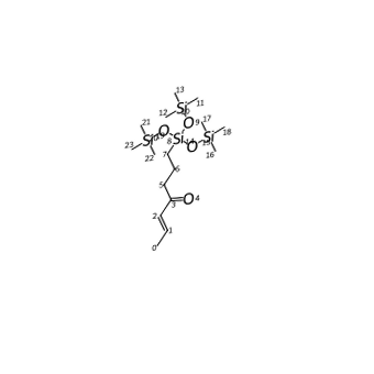 CC=CC(=O)CCC[Si](O[Si](C)(C)C)(O[Si](C)(C)C)O[Si](C)(C)C